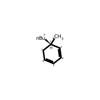 CCCC[C@@]1(C)C=CC=CC1